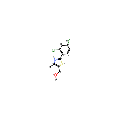 COCc1sc(-c2ccc(Cl)cc2Cl)nc1C